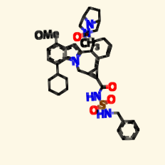 COc1ccc(C2CCCCC2)c2c1cc1n2CC2=C(C(=O)NS(=O)(=O)NCc3ccccc3)C2=C2C=CC[C@@H](C(=O)N3C4CCC3CN(C)C4)C21